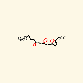 COCCCC(=O)CCC(=O)Cc1ccc(CC(C)=O)o1